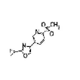 CS(=O)(=O)c1ccc(-c2coc(C3CC3)n2)cn1